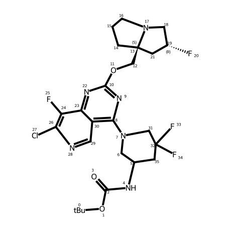 CC(C)(C)OC(=O)NC1CN(c2nc(OC[C@@]34CCCN3C[C@H](F)C4)nc3c(F)c(Cl)ncc23)CC(F)(F)C1